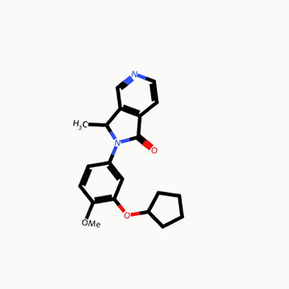 COc1ccc(N2C(=O)c3ccncc3C2C)cc1OC1CCCC1